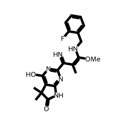 CO/C(NCc1ccccc1F)=C(\C)C(=N)c1nc(O)c2c(n1)NC(=O)C2(C)C